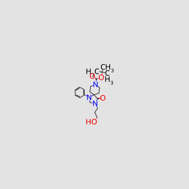 CC(C)(C)OC(=O)N1CCC2(CC1)C(=O)N(CCCO)CN2c1ccccc1